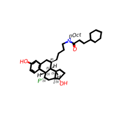 CCCCCCCCN(CCCC[C@@H]1Cc2cc(O)ccc2[C@@H]2[C@@H]1[C@@H]1CC[C@H](O)[C@@]1(C)C[C@@H]2F)C(=O)CCC1CCCCC1